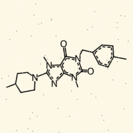 Cc1ccc(Cn2c(=O)c3c(nc(N4CCC(C)CC4)n3C)n(C)c2=O)cc1